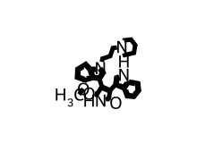 COc1cccc2c1c(C1=C(c3c[nH]c4ccccc34)C(=O)NC1=O)cn2CCCN1CCCCC1